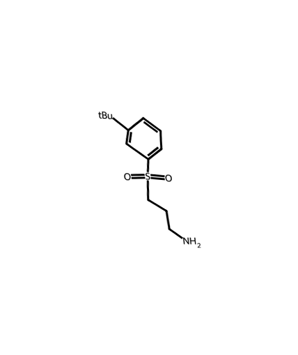 CC(C)(C)c1cccc(S(=O)(=O)CCCN)c1